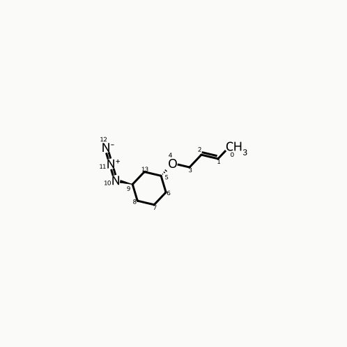 C/C=C/CO[C@@H]1CCC[C@@H](N=[N+]=[N-])C1